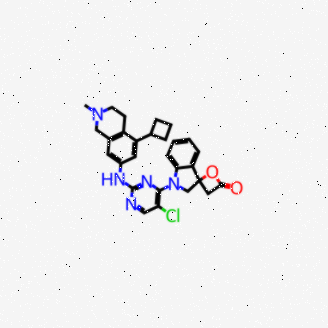 CN1CCc2c(cc(Nc3ncc(Cl)c(N4CC5(CC(=O)O5)c5ccccc54)n3)cc2C2CCC2)C1